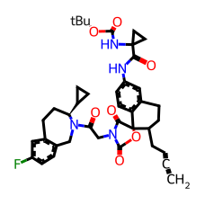 C=C=CCC1CCc2cc(NC(=O)C3(NC(=O)OC(C)(C)C)CC3)ccc2[C@]12OC(=O)N(CC(=O)N1Cc3ccc(F)cc3CC[C@H]1C1CC1)C2=O